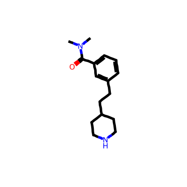 CN(C)C(=O)c1cccc(CCC2CCNCC2)c1